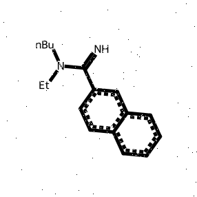 CCCCN(CC)C(=N)c1ccc2ccccc2c1